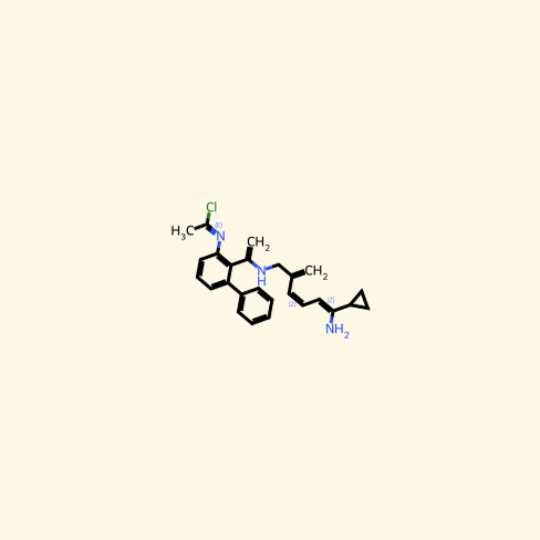 C=C(/C=C\C=C(/N)C1CC1)CNC(=C)c1c(/N=C(\C)Cl)cccc1-c1ccccc1